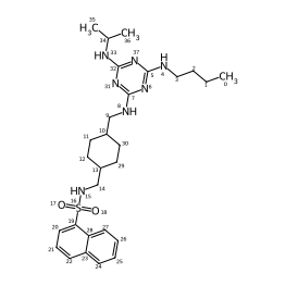 CCCCNc1nc(NCC2CCC(CNS(=O)(=O)c3cccc4ccccc34)CC2)nc(NC(C)C)n1